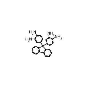 Nc1ccc(C2(c3ccc(N)c(N)c3)c3ccccc3-c3ccccc32)cc1N